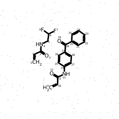 C=CC(=O)NCC(F)F.C=CC(=O)Nc1ccc(C(=O)c2ccccc2)cc1